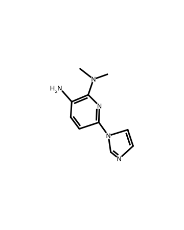 CN(C)c1nc(-n2ccnc2)ccc1N